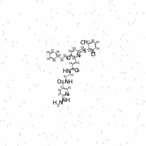 NNc1ccc(C(=O)NCCNC(=O)C=Cc2nc(CSc3c(Cl)cccc3Cl)ccc2OCCc2ccccc2)cn1